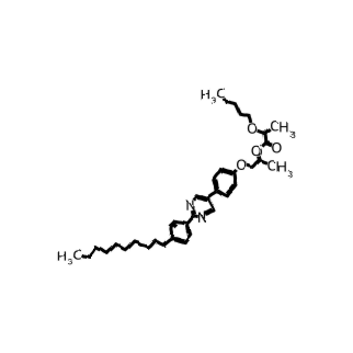 CCCCCCCCCCc1ccc(-c2ncc(-c3ccc(OCC(C)OC(=O)C(C)OCCCCC)cc3)cn2)cc1